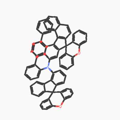 c1ccc(-c2ccc(-c3ccccc3N(c3cccc4c3-c3ccccc3C43c4ccccc4Oc4ccccc43)c3cc4c(c5ccccc35)-c3c(ccc5ccccc35)C43c4ccccc4Oc4ccccc43)cc2)cc1